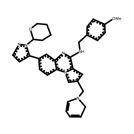 COc1ccc(CNc2nc3cc(-c4ccnn4C4CCCCO4)ccc3n3cc(CN4C=CC=CC4)cc23)cc1